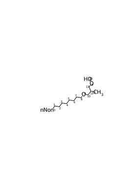 CCCCCCCCCCCCCCCCCOC[C@H](C)COO